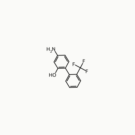 Nc1ccc(-c2ccccc2C(F)(F)F)c(O)c1